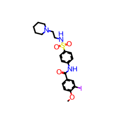 COc1ccc(C(=O)Nc2ccc(S(=O)(=O)NCCN3CCCCC3)cc2)cc1I